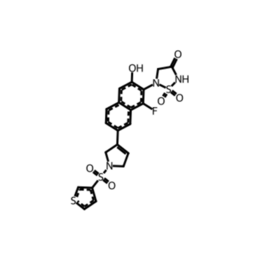 O=C1CN(c2c(O)cc3ccc(C4=CCN(S(=O)(=O)c5ccsc5)C4)cc3c2F)S(=O)(=O)N1